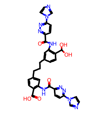 O=C(Nc1cc(CCCc2ccc(C(O)O)c(NC(=O)c3ccc(-n4ccnc4)nn3)c2)ccc1C(=O)O)c1ccc(-n2ccnc2)nn1